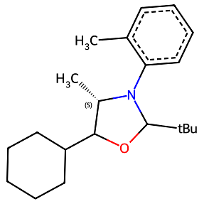 Cc1ccccc1N1C(C(C)(C)C)OC(C2CCCCC2)[C@@H]1C